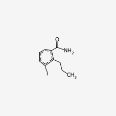 CCCc1c(I)cccc1C(N)=O